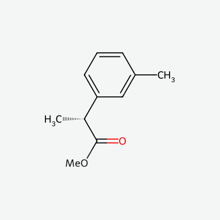 COC(=O)[C@H](C)c1cccc(C)c1